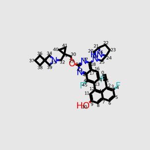 C#Cc1c(F)ccc2cc(O)cc(-c3c(F)cc4c(N5CC6CCC(C5)N6)nc(OCC5(CN6CC7(CCC7)C6)CC5)nc4c3F)c12